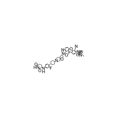 CCN(C)S(=O)(=O)Nc1ccc(F)c(Oc2ccc3ncn(C4COC5(CCN(C6CCC(c7ccc(NC8CCC(=O)NC8=O)cc7F)CC6)CC5)C4)c(=O)c3c2)c1C#N